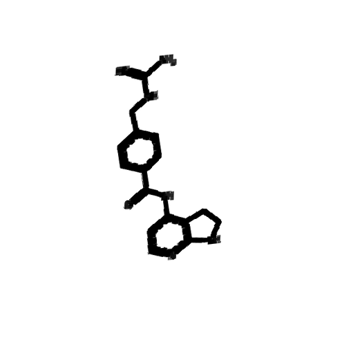 N=C(N)NCc1ccc(C(=O)Nc2ccnc3c2CCN3)cc1